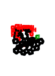 O=C(O)C(CCCc1ccc([C@]23C4=C5[C@]6(c7ccc(CCCC(C(=O)O)C(=O)O)cc7)c7c8ccc(c72)-c2ccc7c(c23)[C@]2(c3ccc(CCCC(C(=O)O)C(=O)O)cc3)C4=C3[C@@]4(c9ccc(CCCC(C(=O)O)C(=O)O)cc9)c9c(ccc-7c92)-c2ccc7c(c24)[C@@](c2ccc(CCCC(C(=O)O)C(=O)O)cc2)(c2c-7ccc-8c26)[C@@]53Cl)cc1)C(=O)O